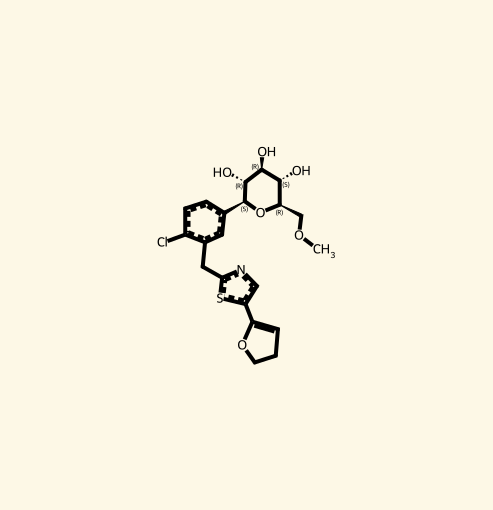 COC[C@H]1O[C@@H](c2ccc(Cl)c(Cc3ncc(C4=CCCO4)s3)c2)[C@H](O)[C@@H](O)[C@@H]1O